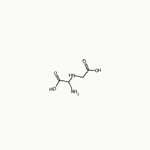 NC(NCC(=O)O)C(=O)O